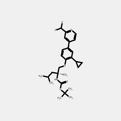 CC(C)C[C@@](C)(COc1ccc(-c2ccnc(C(F)F)c2)cc1C1CC1)NC(=O)OC(C)(C)C